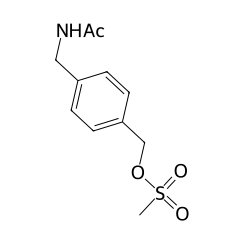 CC(=O)NCc1ccc(COS(C)(=O)=O)cc1